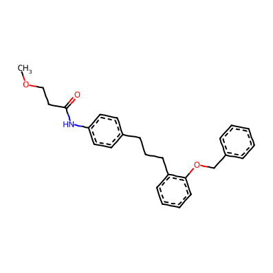 COCCC(=O)Nc1ccc(CCCc2ccccc2OCc2ccccc2)cc1